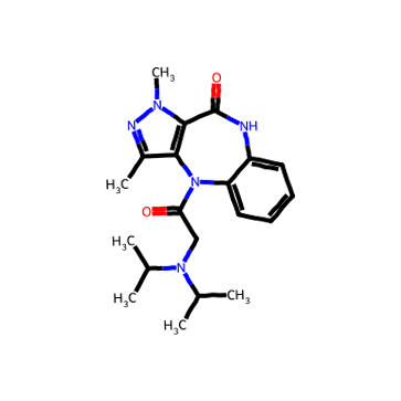 Cc1nn(C)c2c1N(C(=O)CN(C(C)C)C(C)C)c1ccccc1NC2=O